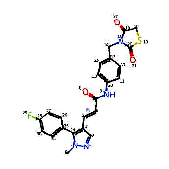 Cn1ncc(/C=C/C(=O)Nc2ccc(CN3C(=O)CSC3=O)cc2)c1-c1ccc(F)cc1